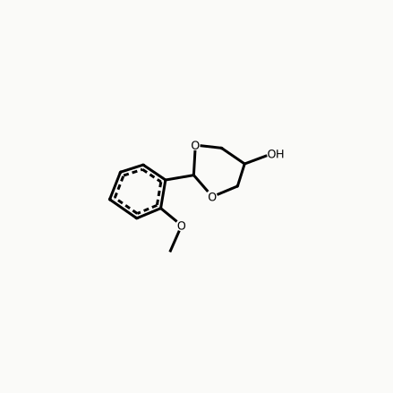 COc1ccccc1C1OCC(O)CO1